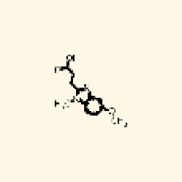 COc1ccc2c(c1)nc(CCC(=O)O)n2C